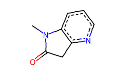 CN1C(=O)Cc2ncccc21